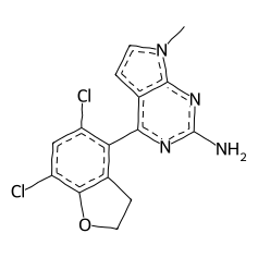 Cn1ccc2c(-c3c(Cl)cc(Cl)c4c3CCO4)nc(N)nc21